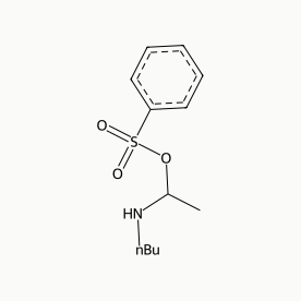 CCCCNC(C)OS(=O)(=O)c1ccccc1